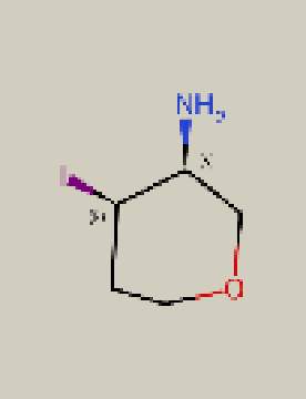 N[C@H]1COCC[C@H]1I